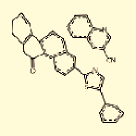 N#Cc1cnc2ccccc2c1.O=C1CC2=C(C=CCC2)c2ccc3cc(-c4ncc(-c5ccccc5)s4)ccc3c21